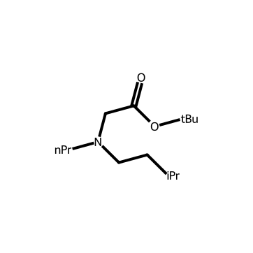 CCCN(CCC(C)C)CC(=O)OC(C)(C)C